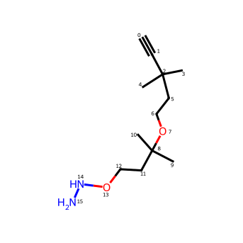 C#CC(C)(C)CCOC(C)(C)CCONN